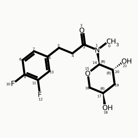 CN(C(=O)CCc1ccc(F)c(F)c1)[C@@H]1OC[C@H](O)C[C@H]1O